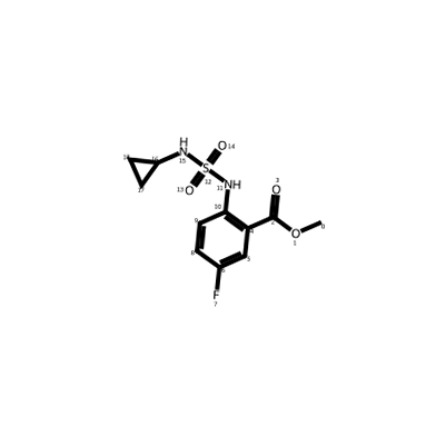 COC(=O)c1cc(F)ccc1NS(=O)(=O)NC1CC1